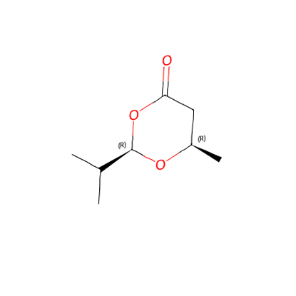 CC(C)[C@H]1OC(=O)C[C@@H](C)O1